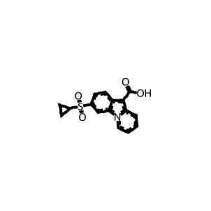 O=C(O)c1c2ccc(S(=O)(=O)C3CC3)cc2n2ccccc12